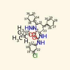 CC(C)(C)CC(=O)NN1C(=O)C(NC(=O)Nc2cccc(Cl)c2)CC(c2ccccc2)CC1c1ccccc1